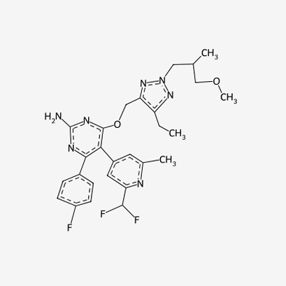 CCc1nn(CC(C)COC)nc1COc1nc(N)nc(-c2ccc(F)cc2)c1-c1cc(C)nc(C(F)F)c1